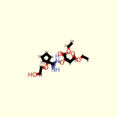 CCOC(=O)/C=C(/ONC(=N)C1(OCCO)CCCC1)C(=O)OCC